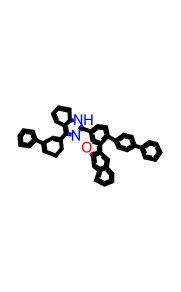 C1=CC2=C(C3=CC(c4ccccc4)=CCC3)N=C(c3ccc(-c4ccc(-c5ccccc5)cc4)c4c3oc3cc5ccccc5cc34)NC2C=C1